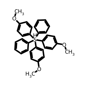 COc1ccc([SH](c2ccccc2)(c2ccccc2)(c2ccc(OC)cc2)c2ccc(OC)cc2)cc1